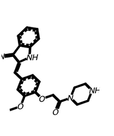 COc1cc(/C=C2\Nc3ccccc3C2=N)ccc1OCC(=O)N1CCNCC1